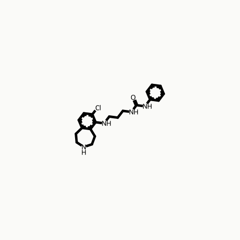 O=C(NCCCNc1c(Cl)ccc2c1CCNCC2)Nc1ccccc1